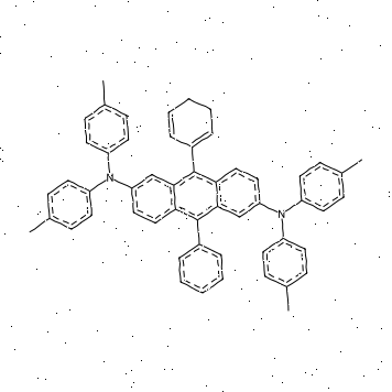 Cc1ccc(N(c2ccc(C)cc2)c2ccc3c(-c4ccccc4)c4cc(N(c5ccc(C)cc5)c5ccc(C)cc5)ccc4c(C4=CCCC=C4)c3c2)cc1